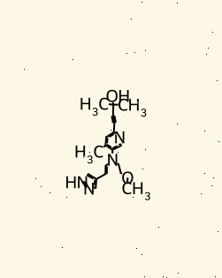 COCCN(/C=C/c1cn[nH]c1)c1cnc(C#CC(C)(C)O)cc1C